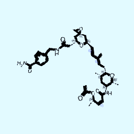 CC(=O)O[C@@H](C)/C=C\C(=O)N[C@@H]1C[C@H](C)[C@H](C/C=C(C)/C=C/[C@@H]2C[C@]3(CO3)C[C@@H](CC(=O)NCc3ccc(C(N)=O)cc3)O2)O[C@@H]1C